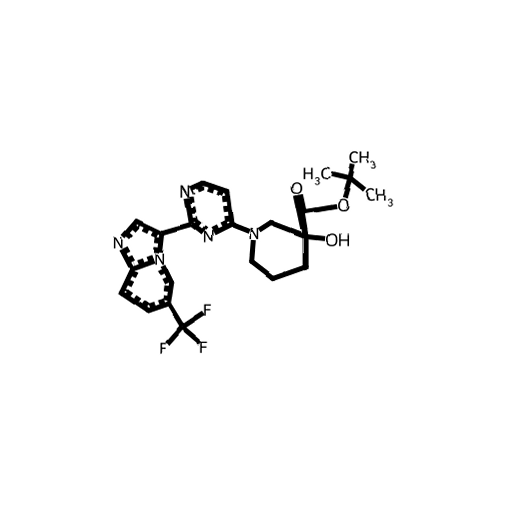 CC(C)(C)OC(=O)C1(O)CCCN(c2ccnc(-c3cnc4ccc(C(F)(F)F)cn34)n2)C1